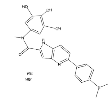 Br.Br.CN(C)c1ccc(-c2ccc3[nH]c(C(=O)N(C)c4cc(O)c(O)c(O)c4)cc3n2)cc1